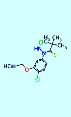 C#CCOc1cc(N(NCl)C(=S)C(C)(C)C)ccc1Cl